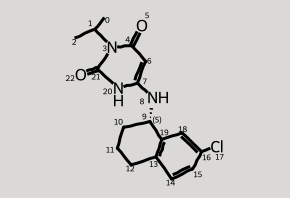 CC(C)n1c(=O)cc(N[C@H]2CCCc3ccc(Cl)cc32)[nH]c1=O